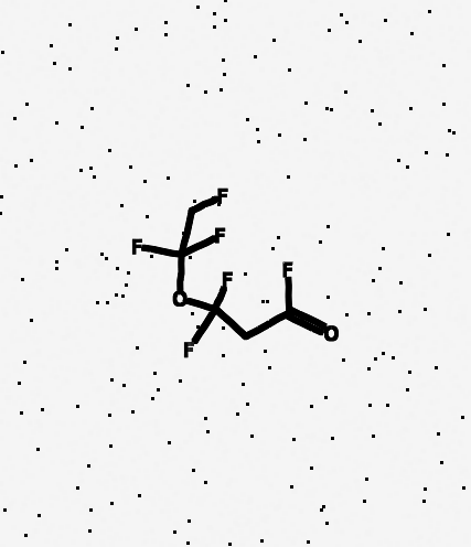 O=C(F)CC(F)(F)OC(F)(F)CF